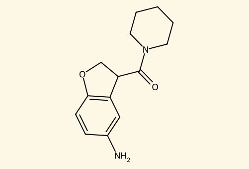 Nc1ccc2c(c1)C(C(=O)N1CCCCC1)CO2